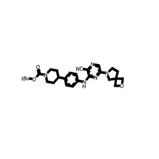 CC(C)(C)OC(=O)N1CCC(c2ccc(Nc3nc(N4CCC5(COC5)C4)cnc3C#N)cc2)CC1